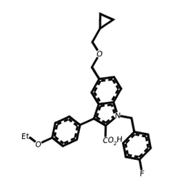 CCOc1ccc(-c2c(C(=O)O)n(Cc3ccc(F)cc3)c3ccc(COCC4CC4)cc23)cc1